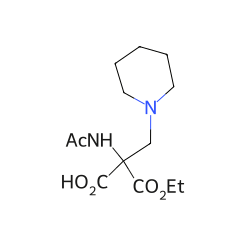 CCOC(=O)C(CN1CCCCC1)(NC(C)=O)C(=O)O